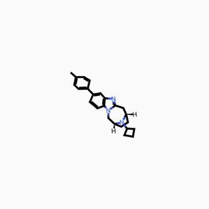 Cc1ccc(-c2ccc3c(c2)nc2n3C[C@H]3CC[C@@H](C2)N3C2CCC2)cc1